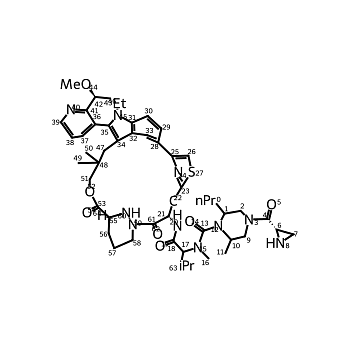 CCCC1CN(C(=O)[C@@H]2CN2)CC(C)N1C(=O)N(C)C(C(=O)N[C@H]1Cc2nc(cs2)-c2ccc3c(c2)c(c(-c2cccnc2[C@H](C)OC)n3CC)CC(C)(C)COC(=O)[C@@H]2CCCN(N2)C1=O)C(C)C